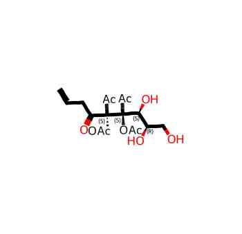 C=CCC(=O)[C@@](OC(C)=O)(C(C)=O)[C@](OC(C)=O)(C(C)=O)[C@@H](O)[C@H](O)CO